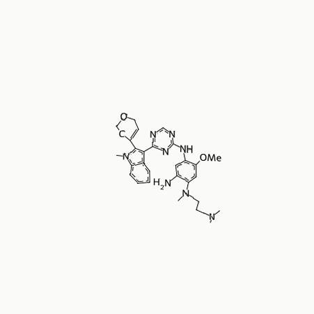 COc1cc(N(C)CCN(C)C)c(N)cc1Nc1ncnc(-c2c(C3=CCOCC3)n(C)c3ccccc23)n1